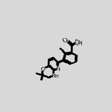 Cc1c(C(=O)O)cccc1-c1ccc2c(n1)NCC(C)(C)O2